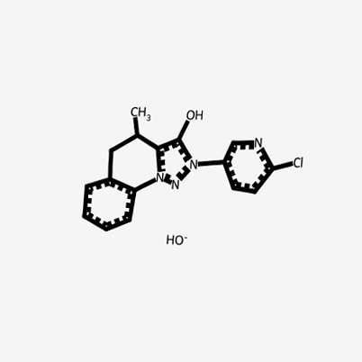 CC1Cc2ccccc2-[n+]2nn(-c3ccc(Cl)nc3)c(O)c21.[OH-]